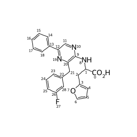 O=C(O)C(Cc1ccco1)Nc1ncc(-c2ccccc2)nc1Cc1cccc(F)c1